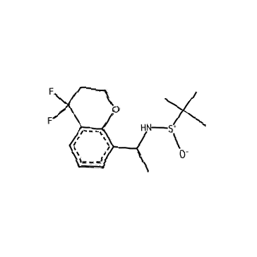 CC(N[S+]([O-])C(C)(C)C)c1cccc2c1OCCC2(F)F